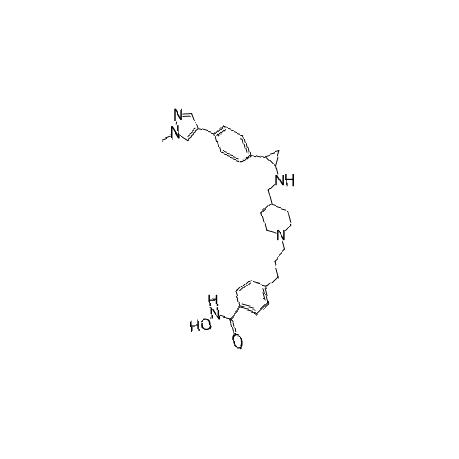 Cn1cc(-c2ccc(C3CC3NCC3CCN(CCCc4ccc(C(=O)NO)cc4)CC3)cc2)cn1